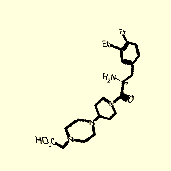 CCc1ccc(C[C@@H](N)C(=O)N2CCC(N3CCN(CC(=O)O)CC3)CC2)cc1CC